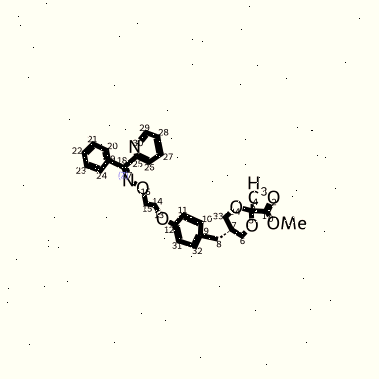 COC(=O)[C@]1(C)OC[C@H](Cc2ccc(OCCO/N=C(/c3ccccc3)c3ccccn3)cc2)CO1